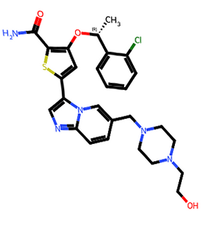 C[C@@H](Oc1cc(-c2cnc3ccc(CN4CCN(CCO)CC4)cn23)sc1C(N)=O)c1ccccc1Cl